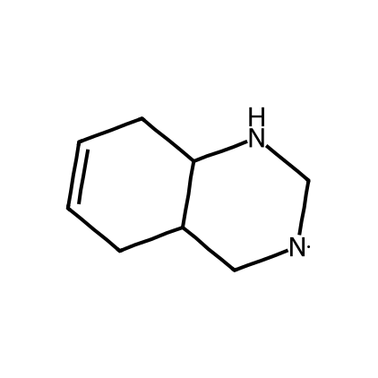 C1=CCC2NC[N]CC2C1